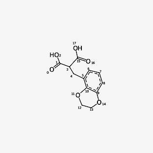 O=C(O)C(Cc1cccc2c1OCCO2)C(=O)O